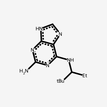 CCC(Nc1nc(N)nc2[nH]cnc12)C(C)(C)C